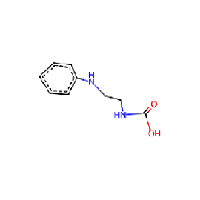 O=C(O)NCCNc1ccccc1